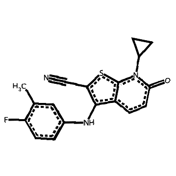 Cc1cc(Nc2c(C#N)sc3c2ccc(=O)n3C2CC2)ccc1F